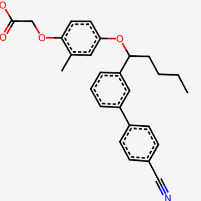 CCCCC(Oc1ccc(OCC(=O)O)c(C)c1)c1cccc(-c2ccc(C#N)cc2)c1